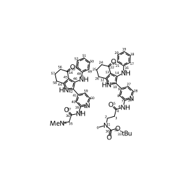 CN(CCC(=O)Nc1cc(-c2[nH]c3c(c2Nc2ccccc2)C(=O)CCC3)ccn1)C(=O)OC(C)(C)C.CNCC(=O)Nc1cc(-c2[nH]c3c(c2Nc2ccccc2)C(=O)CCC3)ccn1